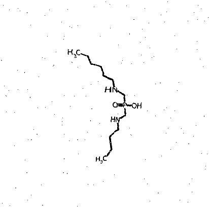 CCCCCCNCP(=O)(O)CNCCCC